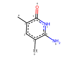 CCc1cc(C)c(=O)[nH]c1N